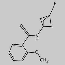 COc1ccccc1C(=O)NC12CC(F)(C1)C2